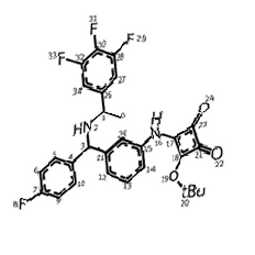 CC(NC(c1ccc(F)cc1)c1cccc(Nc2c(OC(C)(C)C)c(=O)c2=O)c1)c1cc(F)c(F)c(F)c1